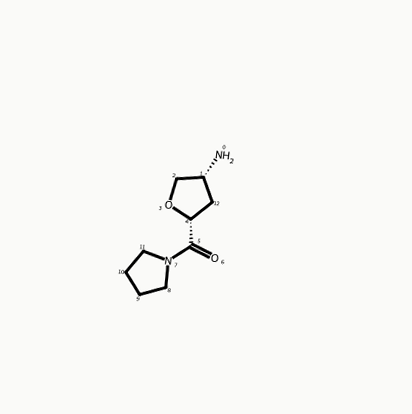 N[C@H]1CO[C@@H](C(=O)N2CCCC2)C1